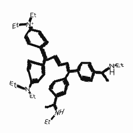 CCNC(C)c1ccc(C(=CC=CC(=C2C=CC(=[N+](CC)CC)C=C2)c2ccc(N(CC)CC)cc2)c2ccc(C(C)NCC)cc2)cc1